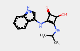 CC(NC1=C(Nc2c[nH]c3ccccc23)C(=O)C1O)C(F)(F)F